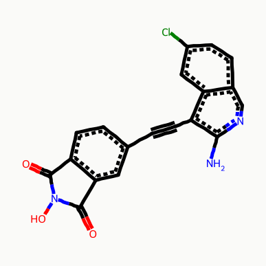 Nc1ncc2ccc(Cl)cc2c1C#Cc1ccc2c(c1)C(=O)N(O)C2=O